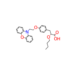 CCCCOC(Cc1ccc(OCCN2c3ccccc3Oc3ccccc32)cc1)C(=O)O